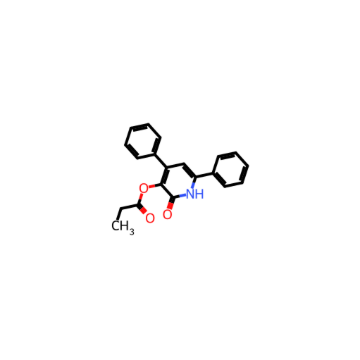 CCC(=O)Oc1c(-c2ccccc2)cc(-c2ccccc2)[nH]c1=O